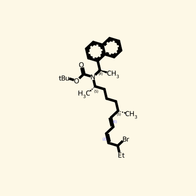 CCC(Br)/C=C\C=C\[C@@H](C)CCC[C@H](C)N(C(=O)OC(C)(C)C)[C@H](C)c1cccc2ccccc12